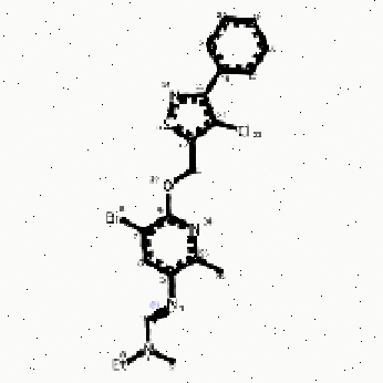 CCN(C)/C=N/c1cc(Br)c(OCc2snc(-c3ccccc3)c2Cl)nc1C